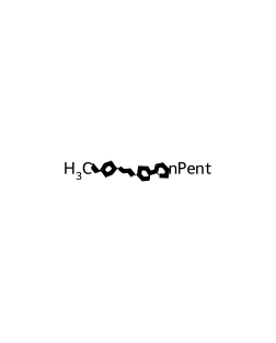 CC=C[C@H]1CC[C@H](CCC=C[C@H]2CC[C@H]([C@H]3CC[C@H](CCCCC)CC3)CC2)CC1